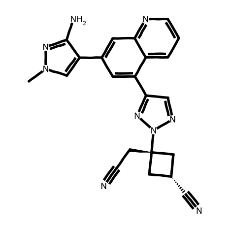 Cn1cc(-c2cc(-c3cnn([C@]4(CC#N)C[C@H](C#N)C4)n3)c3cccnc3c2)c(N)n1